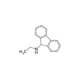 CCNC1c2ccccc2-c2ccccc21